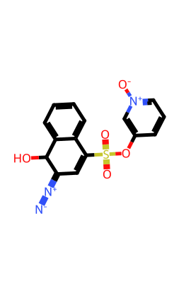 [N-]=[N+]=C1C=C(S(=O)(=O)Oc2ccc[n+]([O-])c2)c2ccccc2C1O